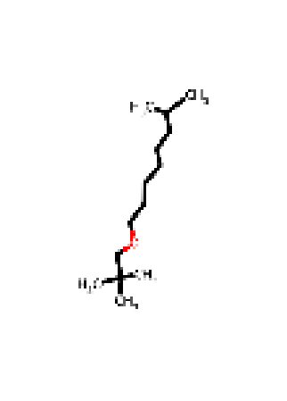 C[C](C)CCCCCCOCC(C)(C)C